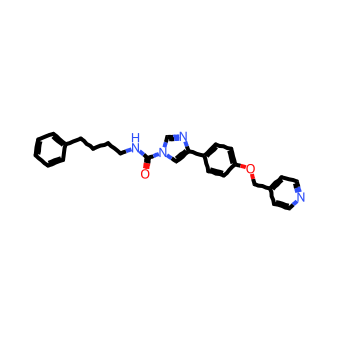 O=C(NCCCCc1ccccc1)n1cnc(-c2ccc(OCc3ccncc3)cc2)c1